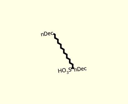 CCCCCCCCCCCCCCCCCCCCCCCC(CCCCCCCCCC)S(=O)(=O)O